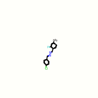 CCCc1ccc(/C=N/N=C/c2ccc(Cl)cc2)c(F)c1